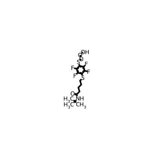 CC(C)(C)NC(=O)CCCCSc1c(F)c(F)c(SOOO)c(F)c1F